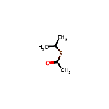 C[C](C)SC(C)=O